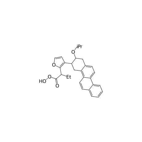 CCC(C(=O)OO)c1occc1C1Cc2c(ccc3c2ccc2ccccc23)CC1OC(C)C